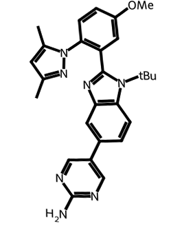 COc1ccc(-n2nc(C)cc2C)c(-c2nc3cc(-c4cnc(N)nc4)ccc3n2C(C)(C)C)c1